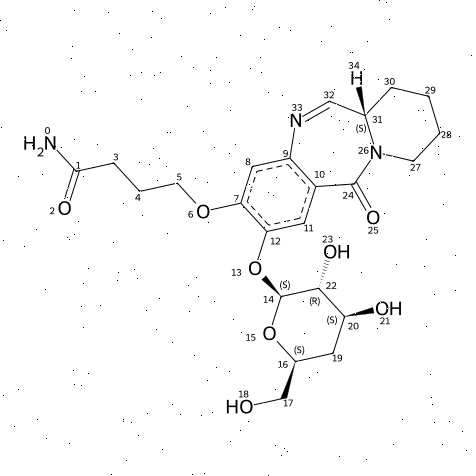 NC(=O)CCCOc1cc2c(cc1O[C@@H]1O[C@H](CO)C[C@H](O)[C@H]1O)C(=O)N1CCCC[C@H]1C=N2